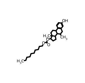 CCCCCCCCCCOC(=O)OC1CCC2C3C(C)Cc4cc(O)ccc4C3CCC12C